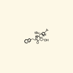 CC(C)(C)[C@@H](C(=O)N1C[C@H](O)C[C@H]1C(=O)NCCc1cc2ccccn2c1)n1cc(C2CC2)nn1